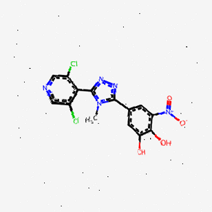 Cn1c(-c2cc(O)c(O)c([N+](=O)[O-])c2)nnc1-c1c(Cl)cncc1Cl